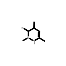 CCC1C(C)C=C(C)NN1C